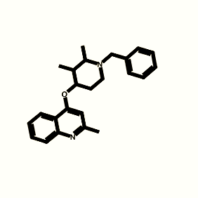 Cc1cc(OC2CCN(Cc3ccccc3)C(C)C2C)c2ccccc2n1